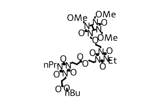 CCCCOC(=O)CCn1c(=O)n(CCC)c(=O)n(CCC(=O)OCCn2c(=O)n(CC)c(=O)n(CCOCN3C(=O)N(COC)C4C3N(COC)C(=O)N4COC)c2=O)c1=O